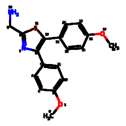 COc1ccc(-c2nc(CN)sc2-c2ccc(OC)cc2)cc1